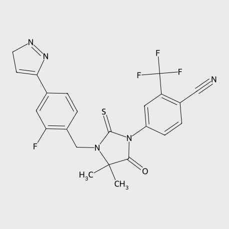 CC1(C)C(=O)N(c2ccc(C#N)c(C(F)(F)F)c2)C(=S)N1Cc1ccc(C2=CCN=N2)cc1F